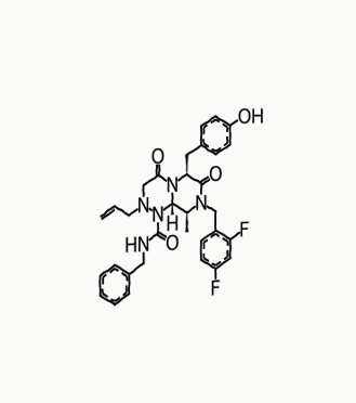 C=CCN1CC(=O)N2[C@@H](Cc3ccc(O)cc3)C(=O)N(Cc3ccc(F)cc3F)[C@@H](C)[C@@H]2N1C(=O)NCc1ccccc1